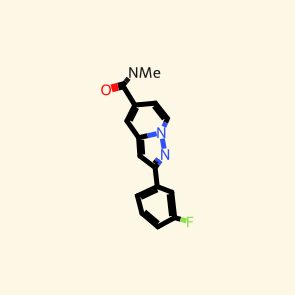 CNC(=O)c1ccn2nc(-c3cccc(F)c3)cc2c1